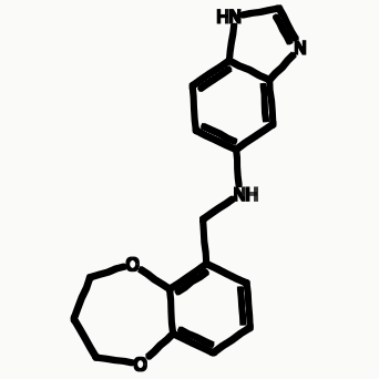 c1cc(CNc2ccc3[nH]cnc3c2)c2c(c1)OCCCO2